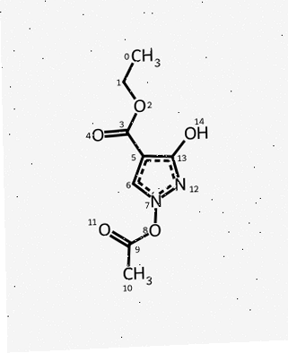 CCOC(=O)c1cn(OC(C)=O)nc1O